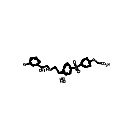 Cl.Cl.O=C(O)COc1ccc(S(=O)(=O)c2ccc(CCNC[C@H](O)c3cccc(Cl)c3)cc2)cc1